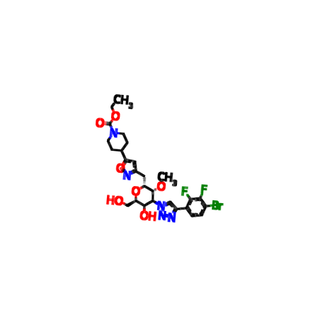 CCOC(=O)N1CCC(c2cc(C[C@H]3O[C@H](CO)[C@H](O)[C@H](n4cc(-c5ccc(Br)c(F)c5F)nn4)[C@H]3OC)no2)CC1